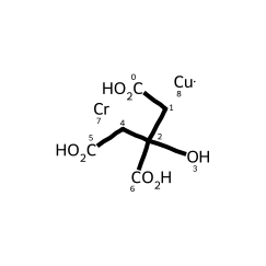 O=C(O)CC(O)(CC(=O)O)C(=O)O.[Cr].[Cu]